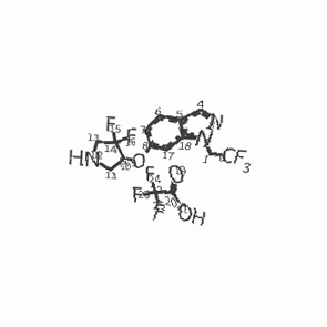 FC(F)(F)Cn1ncc2ccc(O[C@H]3CNCC3(F)F)cc21.O=C(O)C(F)(F)F